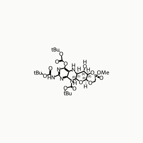 COP1(=O)CO[C@H]2O[C@@H]3[C@@H](Nc4c(OC(=O)OC(C)(C)C)nc(NC(=O)OC(C)(C)C)nc4N3C(=O)OC(C)(C)C)[C@@H](O)[C@H]2O1